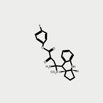 NC(CC(=O)C(=O)Oc1ccc(F)cc1)(C(=O)O)C1c2ccccc2N[C@@H]2CCC[C@H]12